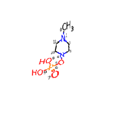 CN1CCN(OP(=O)(O)O)CC1